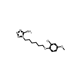 COc1ccc(OCCCCCCn2nnnc2N)c(Cl)c1